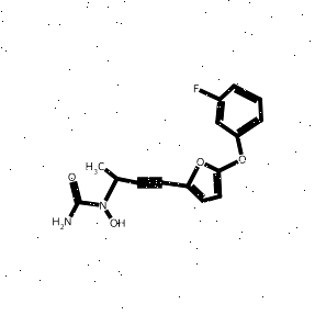 CC(C#Cc1ccc(Oc2cccc(F)c2)o1)N(O)C(N)=O